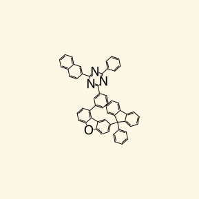 c1ccc(-c2nc(-c3cccc(-c4cccc5oc6ccc(C7(c8ccccc8)c8ccccc8-c8ccccc87)cc6c45)c3)nc(-c3ccc4ccccc4c3)n2)cc1